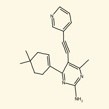 Cc1nc(N)nc(C2=CCC(C)(C)CC2)c1C#Cc1cccnc1